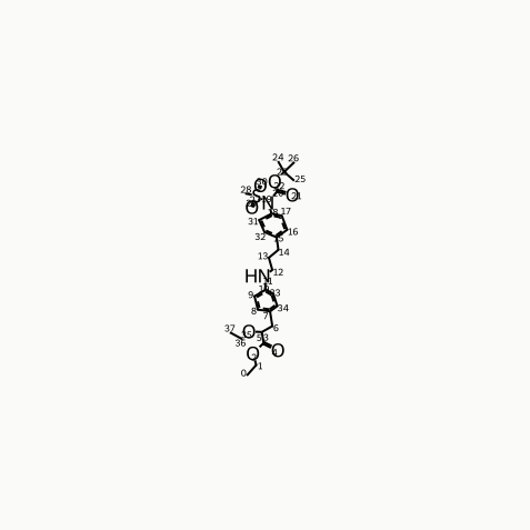 CCOC(=O)C(Cc1ccc(NCCCc2ccc(N(C(=O)OC(C)(C)C)S(C)(=O)=O)cc2)cc1)OCC